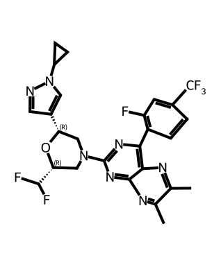 Cc1nc2nc(N3C[C@@H](c4cnn(C5CC5)c4)O[C@@H](C(F)F)C3)nc(-c3ccc(C(F)(F)F)cc3F)c2nc1C